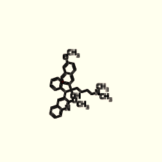 COc1ccc2cc(C(O)(CCCCN(C)C)C(c3ccccc3)c3cc4ccccc4nc3OC)ccc2c1